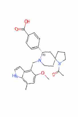 COc1cc(C)c2[nH]ccc2c1CN1CCC2(CCCN2C(C)=O)C[C@H]1c1ccc(C(=O)O)cc1